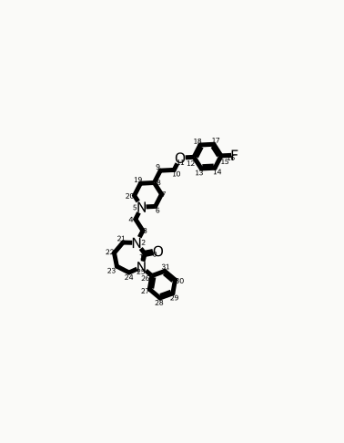 O=C1N(CCN2CCC(CCOc3ccc(F)cc3)CC2)CCCCN1c1ccccc1